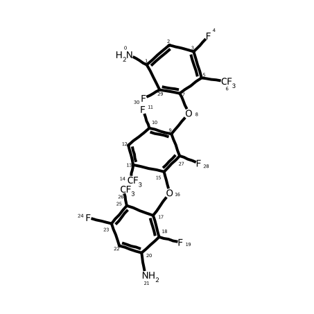 Nc1cc(F)c(C(F)(F)F)c(Oc2c(F)cc(C(F)(F)F)c(Oc3c(F)c(N)cc(F)c3C(F)(F)F)c2F)c1F